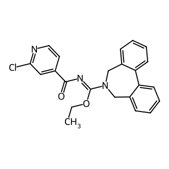 CCOC(=NC(=O)c1ccnc(Cl)c1)N1Cc2ccccc2-c2ccccc2C1